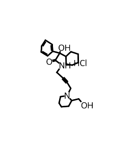 Cl.O=C(NCC#CCN1CCCCC1CO)C(O)(c1ccccc1)C1CCCCC1